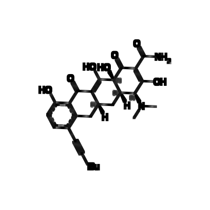 CCC(C)C#Cc1ccc(O)c2c1C[C@H]1C[C@H]3[C@H](N(C)C)C(O)=C(C(N)=O)C(=O)[C@@]3(O)C(O)=C1C2=O